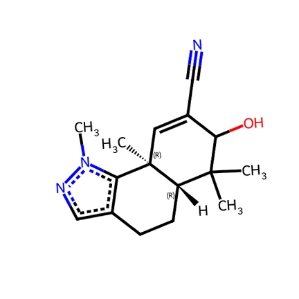 Cn1ncc2c1[C@@]1(C)C=C(C#N)C(O)C(C)(C)[C@@H]1CC2